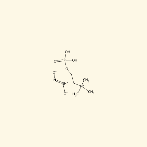 C[N+](C)(C)CCOP(=O)(O)O.[O-]N=[NH+][O-]